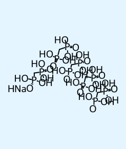 O=P(O)(O)CP(=O)(O)O.O=P(O)(O)CP(=O)(O)O.O=P(O)(O)CP(=O)(O)O.O=P(O)(O)CP(=O)(O)O.O=P(O)(O)CP(=O)(O)O.[NaH]